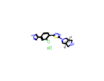 Cl.Clc1cc(-c2cn[nH]c2)ccc1-c1nnc(N2C[C@H]3CNC[C@H]3C2)s1